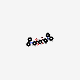 O=c1c2cc(-n3c4ccccc4c4ccccc43)ccc2oc2cc3oc4ccc(-n5c6ccccc6c6ccccc65)cc4c(=O)c3cc12